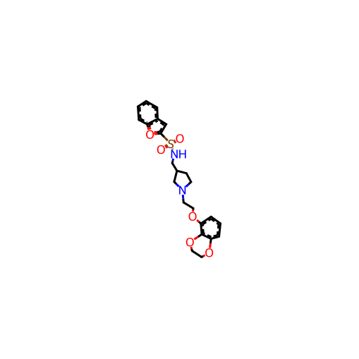 O=S(=O)(NCC1CCN(CCOc2cccc3c2OCCO3)C1)c1cc2ccccc2o1